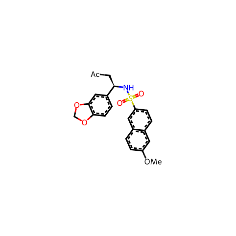 COc1ccc2cc(S(=O)(=O)N[C@H](CC(C)=O)c3ccc4c(c3)OCO4)ccc2c1